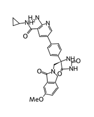 COc1ccc2c(c1)C(=O)N(C[C@@]1(c3ccc(-c4cnc(N)c(C(=O)NC5CC5)c4)cc3)NC(=O)NC1=O)C2